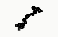 Cc1ccc2c(c1)CC[C@H](c1ccccc1)[C@@H]2c1ccc(OCCCN2CCC(c3cccc(OC4=CC(=O)N(C5CCC(=O)NC5=O)C4)c3)CC2)cc1